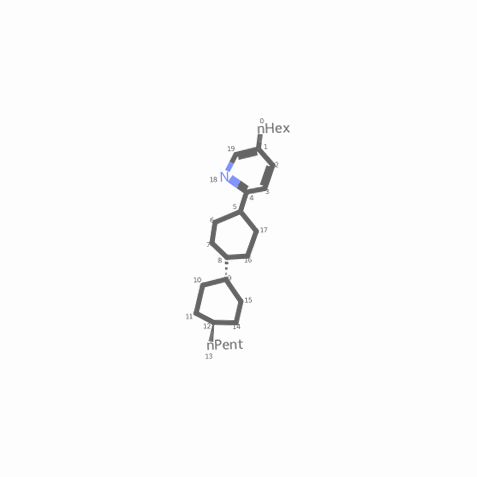 CCCCCCc1ccc(C2CCC([C@H]3CC[C@H](CCCCC)CC3)CC2)nc1